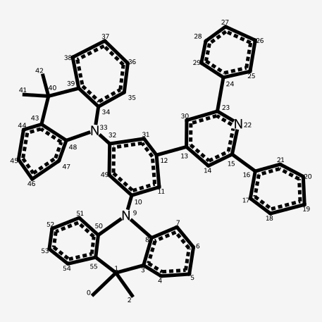 CC1(C)c2ccccc2N(c2cc(-c3cc(-c4ccccc4)nc(-c4ccccc4)c3)cc(N3c4ccccc4C(C)(C)c4ccccc43)c2)c2ccccc21